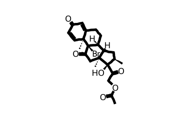 CC(=O)OCC(=O)[C@@]1(O)[C@H](C)C[C@H]2[C@@H]3CCC4=CC(=O)C=C[C@]4(C)[C@@]3(Br)C(=O)C[C@@]21C